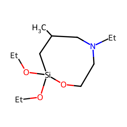 CCO[Si]1(OCC)CC(C)CN(CC)CCO1